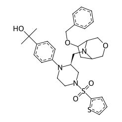 CC(C)(O)c1ccc(N2CCN(S(=O)(=O)c3cccs3)C[C@@H]2CN2C3COCC2C(OCc2ccccc2)C3)cc1